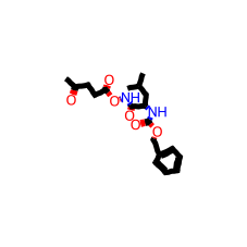 CC(=O)CCC(=O)ONC(=O)C(CC(C)C)NC(=O)OCc1ccccc1